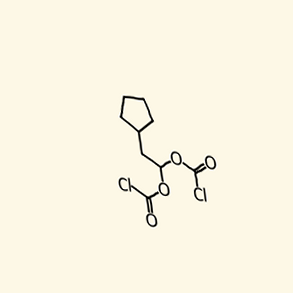 O=C(Cl)OC(CC1CCCC1)OC(=O)Cl